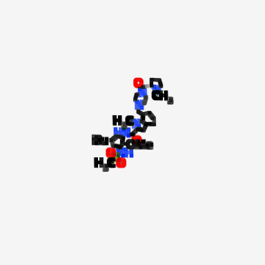 CCC(C)c1cc(NC(=O)c2cc3cccc(CN4CCN(C(=O)[C@@H]5CCCN5C)CC4)c3n2C)c(OC)c(NS(C)(=O)=O)c1